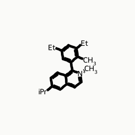 CCc1cc(CC)c(C)c(-c2c3ccc(C(C)C)cc3cc[n+]2C)c1